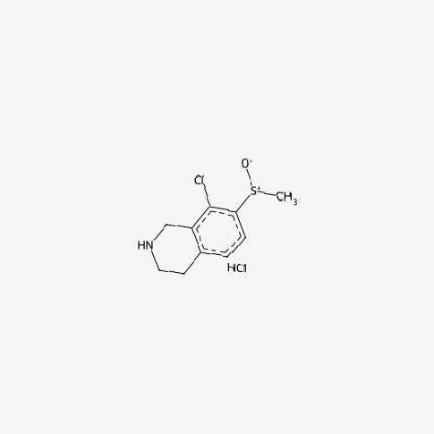 C[S+]([O-])c1ccc2c(c1Cl)CNCC2.Cl